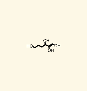 OC=C(O)C(O)CCCO